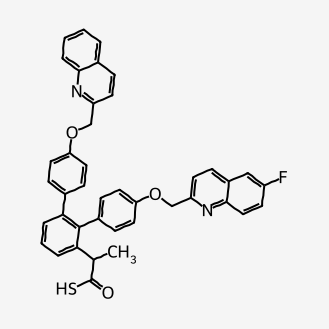 CC(C(=O)S)c1cccc(-c2ccc(OCc3ccc4ccccc4n3)cc2)c1-c1ccc(OCc2ccc3cc(F)ccc3n2)cc1